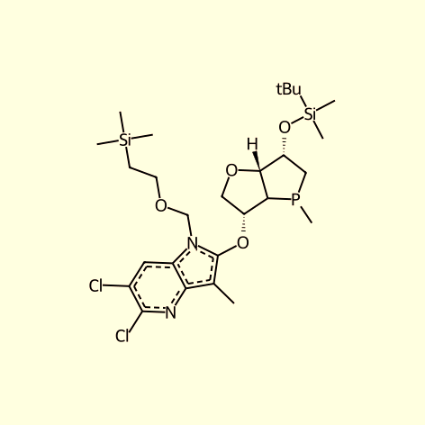 Cc1c(O[C@@H]2CO[C@H]3C2P(C)C[C@H]3O[Si](C)(C)C(C)(C)C)n(COCC[Si](C)(C)C)c2cc(Cl)c(Cl)nc12